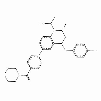 CC(O)N1c2ccc(-c3ccc(C(=O)N4CCOCC4)cn3)cc2C(Nc2ccc(Cl)cc2)C[C@@H]1C